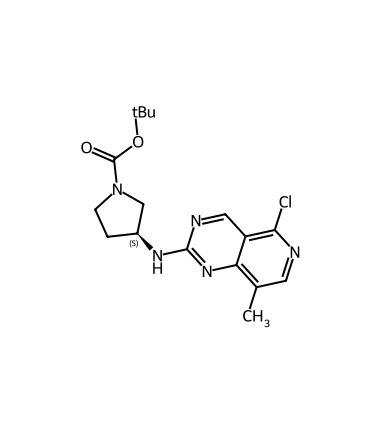 Cc1cnc(Cl)c2cnc(N[C@H]3CCN(C(=O)OC(C)(C)C)C3)nc12